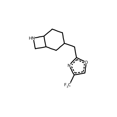 FC(F)(F)c1coc(CC2CCC3NCC3C2)n1